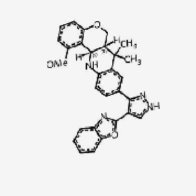 COc1cccc2c1[C@H]1Nc3ccc(-c4n[nH]cc4-c4nc5ccccc5o4)cc3C(C)(C)[C@H]1CO2